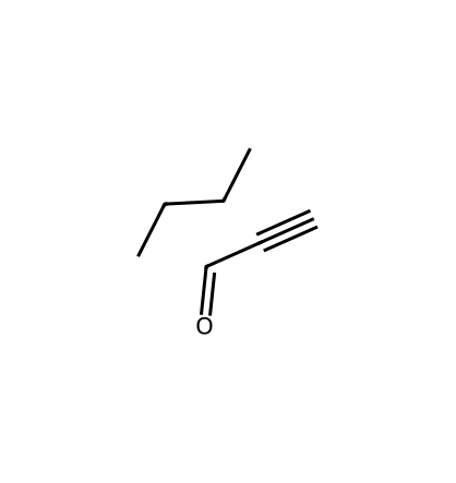 C#CC=O.CCCC